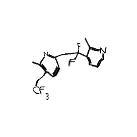 Cc1nc(CC(F)(F)c2cccnc2C)ccc1CC(F)(F)F